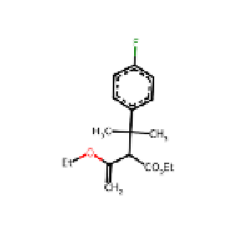 C=C(OCC)C(C(=O)OCC)C(C)(C)c1ccc(F)cc1